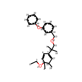 CCOC1(C)C=CC(C(C)(C)COCc2cccc(Oc3ccccc3)c2)=CC1C